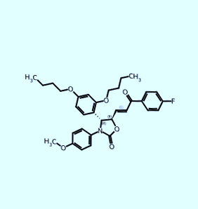 CCCCOc1ccc([C@@H]2[C@@H](/C=C/C(=O)c3ccc(F)cc3)OC(=O)N2c2ccc(OC)cc2)c(OCCCC)c1